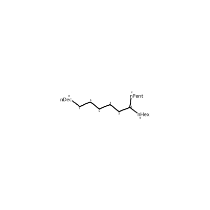 [CH2]CCCCCC(CCCCC)CCCCCCCCCCCCCCC